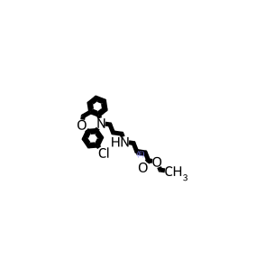 CCOC(=O)/C=C/CNCCCN1c2ccccc2COc2ccc(Cl)cc21